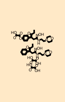 CCc1oc2ccccc2c1CC(=NO)NCCN1CCOCC1.CCc1oc2ccccc2c1CC(=NO)NCCN1CCOCC1.O=C(O)C(=O)O.O=C(O)C(=O)O.O=C(O)C(=O)O